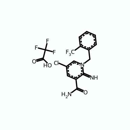 N=c1c(C(N)=O)cc(Cl)cn1Cc1ccccc1C(F)(F)F.O=C(O)C(F)(F)F